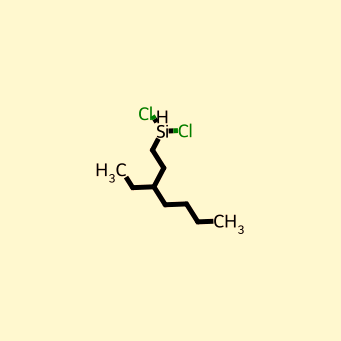 CCCCC(CC)CC[SiH](Cl)Cl